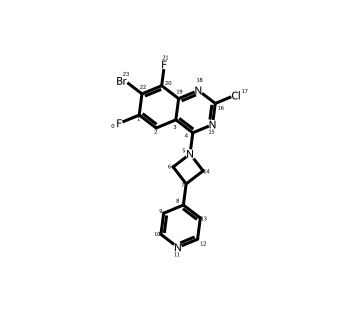 Fc1cc2c(N3CC(c4ccncc4)C3)nc(Cl)nc2c(F)c1Br